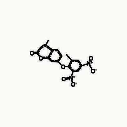 Cc1cc([N+](=O)[O-])cc([N+](=O)[O-])c1Oc1ccc2c(C)cc(=O)oc2c1